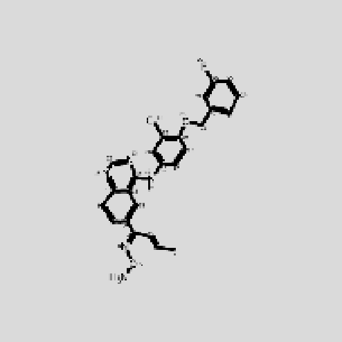 CC=C/C(=N\ON)c1ccc2ncnc(Nc3ccc(OCc4cccc(F)c4)c(Cl)c3)c2c1